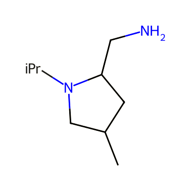 CC1CC(CN)N(C(C)C)C1